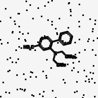 COCN(COC)c1cc(C(=O)O)ccc1-c1ccccc1